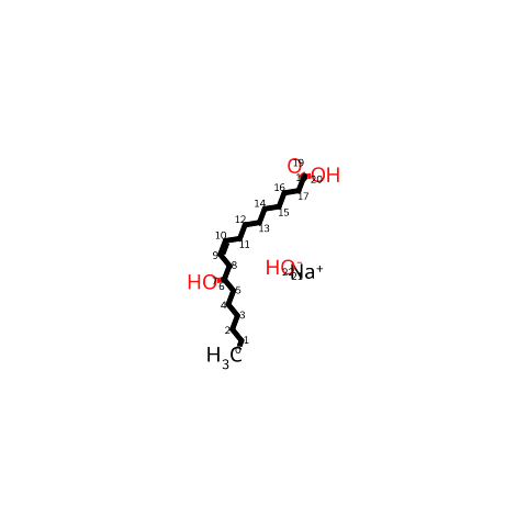 CCCCCCC(O)C/C=C\CCCCCCCC(=O)O.[Na+].[OH-]